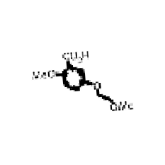 COCCOc1ccc(OC)c(C(=O)O)c1